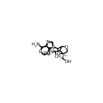 CC(C)(C)C1C2OC[C@]1(CO)OC2n1cnc2c(N)ncnc21